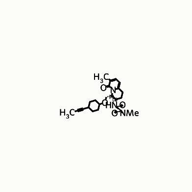 CC#CC1CCC(OC[C@H]2[C@@H](NS(=O)(=O)NC)CCc3ccc(C)c(=O)n32)CC1